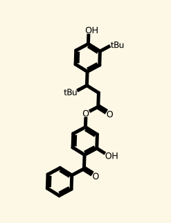 CC(C)(C)c1cc(C(CC(=O)Oc2ccc(C(=O)c3ccccc3)c(O)c2)C(C)(C)C)ccc1O